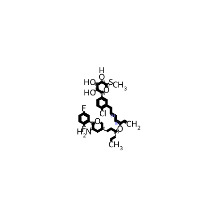 C=C/C(=C\C=C\Cc1cc([C@@H]2O[C@H](SC)[C@@H](O)[C@H](O)[C@H]2O)ccc1Cl)O[C@H](CCC)CC[C@H]1CO[C@H](c2cc(F)ccc2F)[C@@H](N)C1